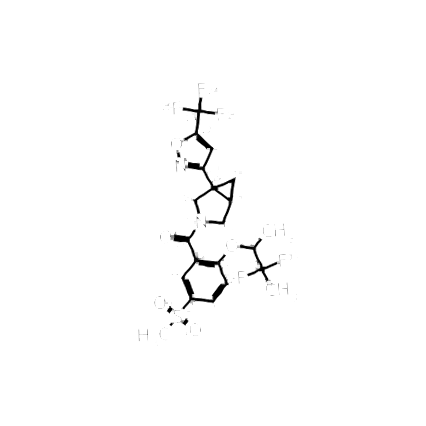 CC(Oc1ccc(S(C)(=O)=O)cc1C(=O)N1CC2CC2(c2cc(C(F)(F)F)on2)C1)C(C)(F)F